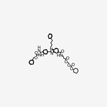 N=C(NC(=O)OCc1ccccc1)c1ccc(-c2nc3cc(C(=O)NCCC(=O)OCOC(=O)OC4CCCCC4)ccc3n2CCCCc2ccccc2)cc1